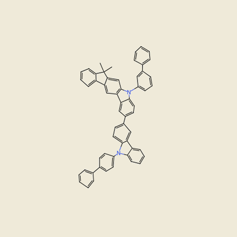 CC1(C)c2ccccc2-c2cc3c4cc(-c5ccc6c(c5)c5ccccc5n6-c5ccc(-c6ccccc6)cc5)ccc4n(-c4cccc(-c5ccccc5)c4)c3cc21